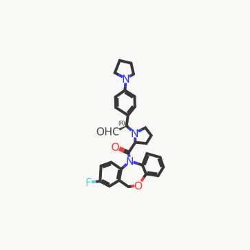 O=C[C@@H](c1ccc(N2CCCC2)cc1)N1CCCC1C(=O)N1c2ccc(F)cc2COc2ccccc21